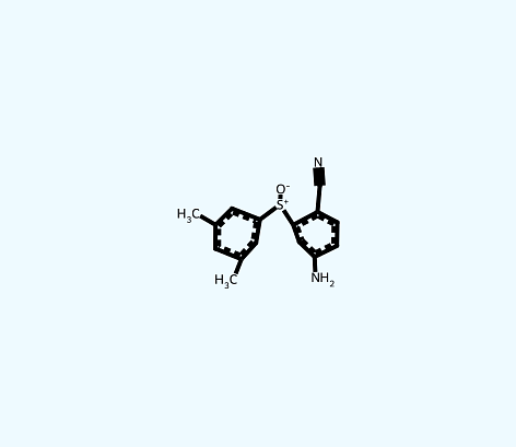 Cc1cc(C)cc([S+]([O-])c2cc(N)ccc2C#N)c1